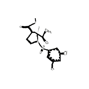 COC(=O)C1CCN(S(=O)(=O)c2cc(Cl)cc(Cl)c2)[C@]1(C)C(=O)O